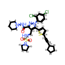 O=C(NN1CCCCC1)c1nn(-c2ccc(Cl)cc2Cl)c(-c2ccc(C#CC3CCCC3)s2)c1CNS(=O)(=O)N1CCCC1